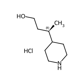 C[C@H](CCO)C1CCNCC1.Cl